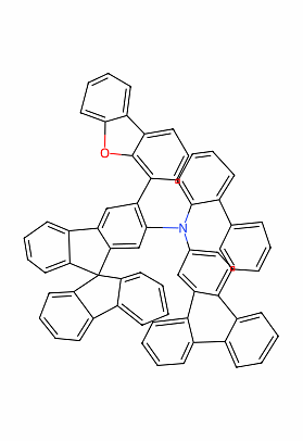 c1ccc(-c2ccccc2N(c2ccc3c4ccccc4c4ccccc4c3c2)c2cc3c(cc2-c2cccc4c2oc2ccccc24)-c2ccccc2C32c3ccccc3-c3ccccc32)cc1